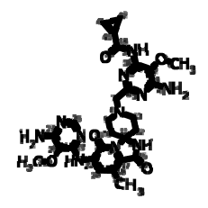 COc1c(N)nc(CN2CCC3(CC2)NC(=O)c2c(C)cc(Nc4ncnc(N)c4OC)c(=O)n23)nc1NC(=O)C1CC1